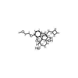 COCCOc1ccc2c3c1O[C@H]1[C@@H](O)CC[C@@]4(O)[C@@H](C2)N(CC2CCC2)CC[C@]314